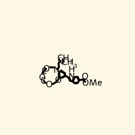 COC(=O)c1ccc2cc(-c3ccc4c(c3)OCCOCCOCCOCCN4CCN(C)C)[nH]c2c1